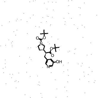 CC(C)(C)OC(=O)[C@@H](Cc1cncc(O)c1)[C@H]1CCN(C(=O)OC(C)(C)C)C1